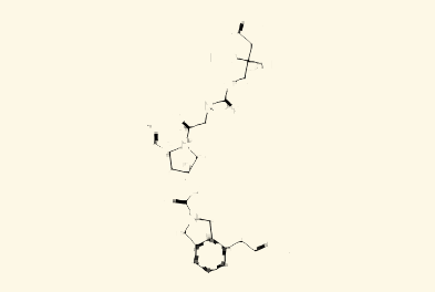 C=CCc1cccc2c1CN(C(=O)O[C@@H]1C[C@@H](C=O)N(C(=O)CNC(=O)OCC(C)(C)CC=C)C1)C2